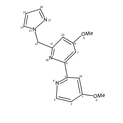 COc1ccnc(-c2cc(OC)cc(Cn3cccn3)n2)c1